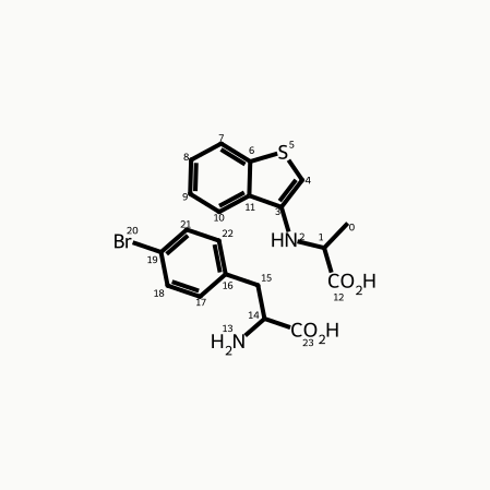 CC(Nc1csc2ccccc12)C(=O)O.NC(Cc1ccc(Br)cc1)C(=O)O